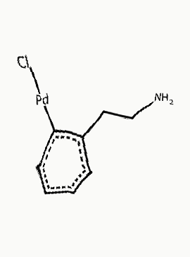 NCCc1cccc[c]1[Pd][Cl]